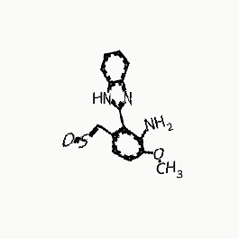 COc1ccc(C=S=O)c(-c2nc3ccccc3[nH]2)c1N